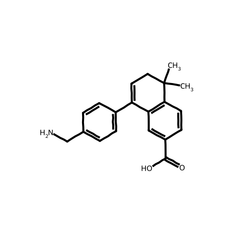 CC1(C)CC=C(c2ccc(CN)cc2)c2cc(C(=O)O)ccc21